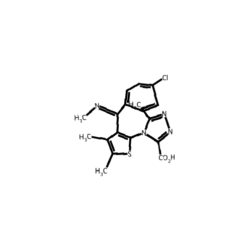 C/N=C(/c1ccc(Cl)cc1)c1c(-n2c(C)nnc2C(=O)O)sc(C)c1C